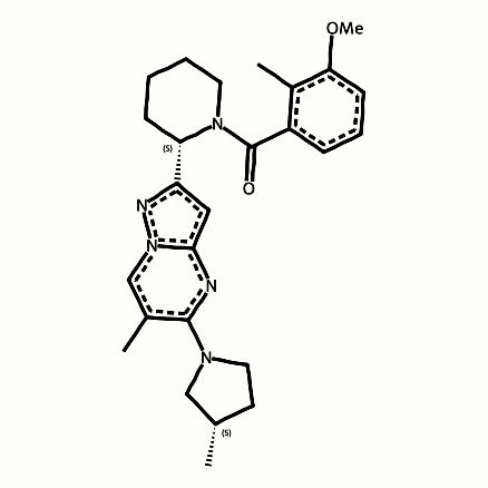 COc1cccc(C(=O)N2CCCC[C@H]2c2cc3nc(N4CC[C@H](C)C4)c(C)cn3n2)c1C